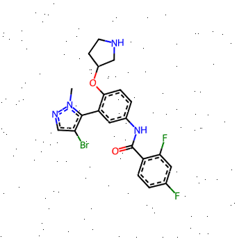 Cn1ncc(Br)c1-c1cc(NC(=O)c2ccc(F)cc2F)ccc1OC1CCNC1